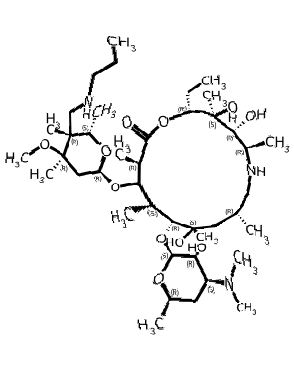 CCCNC[C@]1(C)[C@H](C)O[C@@H](OC2[C@@H](C)C(=O)O[C@H](CC)[C@@](C)(O)[C@H](O)[C@@H](C)NC[C@H](C)C[C@](C)(O)[C@H](O[C@@H]3O[C@H](C)C[C@H](N(C)C)[C@H]3O)[C@H]2C)C[C@@]1(C)OC